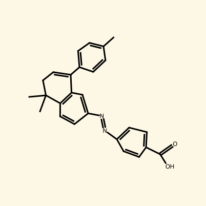 Cc1ccc(C2=CCC(C)(C)c3ccc(N=Nc4ccc(C(=O)O)cc4)cc32)cc1